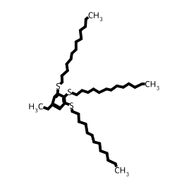 CCCCCCCCCCCCCSc1cc(CC)cc(SCCCCCCCCCCCCC)c1SCCCCCCCCCCCCC